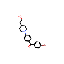 O=C(c1ccc(Br)cc1)c1ccc(N2CCC(CCO)CC2)cc1